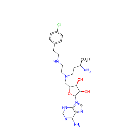 NC1=NCNc2c1ncn2C1OC(CN(CCNCCc2ccc(Cl)cc2)CC[C@H](N)C(=O)O)[C@@H](O)[C@H]1O